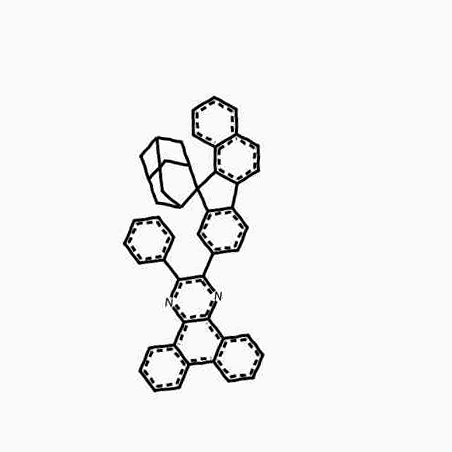 c1ccc(-c2nc3c4ccccc4c4ccccc4c3nc2-c2ccc3c(c2)C2(c4c-3ccc3ccccc43)C3CC4CC(C3)CC2C4)cc1